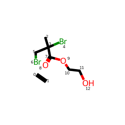 C=C.CC(Br)(CBr)C(=O)OCCO